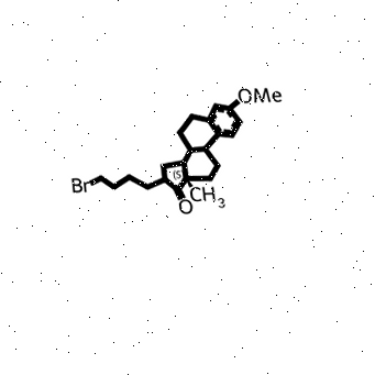 COc1ccc2c(c1)CCC1C2CC[C@]2(C)C(=O)C(CCCCBr)CC12